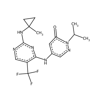 CC(C)n1ncc(Nc2nc(NC3(C)CC3)ncc2C(F)(F)F)cc1=O